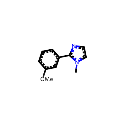 COc1cccc(-c2nccn2C)c1